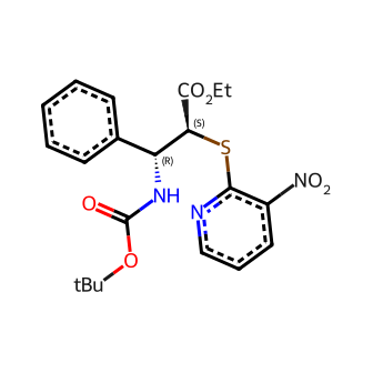 CCOC(=O)[C@@H](Sc1ncccc1[N+](=O)[O-])[C@H](NC(=O)OC(C)(C)C)c1ccccc1